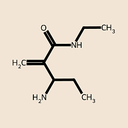 C=C(C(=O)NCC)C(N)CC